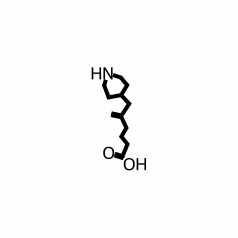 C=C(CCCC(=O)O)CC1CCNCC1